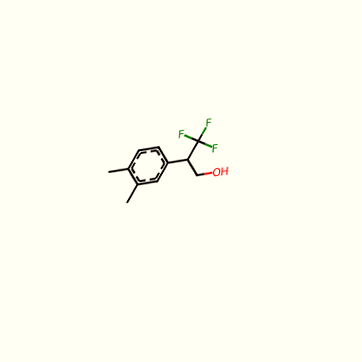 Cc1ccc(C(CO)C(F)(F)F)cc1C